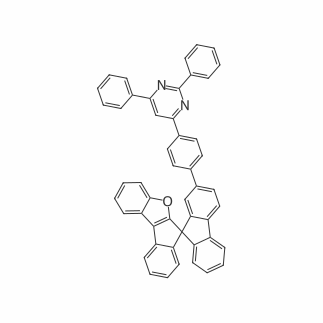 c1ccc(-c2cc(-c3ccc(-c4ccc5c(c4)C4(c6ccccc6-5)c5ccccc5-c5c4oc4ccccc54)cc3)nc(-c3ccccc3)n2)cc1